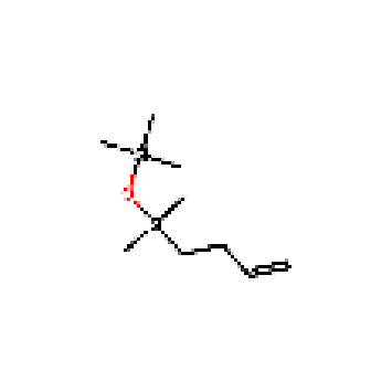 C=CCC[Si](C)(C)O[Si](C)(C)C